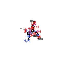 CN(C(=O)OC(C)(C)C)[C@@H]1[C@@H](O)[C@@H](O[C@@H]2[C@@H](O)[C@H](O[C@H]3OC(CNCCCN)=CC[C@H]3NC(=O)OC(C)(C)C)[C@@H](NC(=O)OC(C)(C)C)C[C@H]2NC(=O)C(O)C2CN(C(=O)OC(C)(C)C)C2)OC[C@]1(C)O